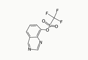 O=S(=O)(Oc1cccc2cncnc12)C(F)(F)F